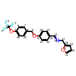 FC(F)(F)Oc1ccc(COc2ccc(C=NCc3ccco3)cc2)cc1